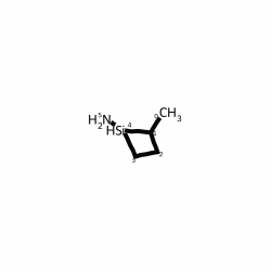 CC1CC[SiH]1N